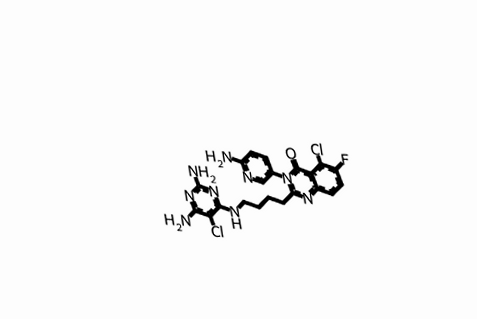 Nc1ccc(-n2c(CCCCNc3nc(N)nc(N)c3Cl)nc3ccc(F)c(Cl)c3c2=O)cn1